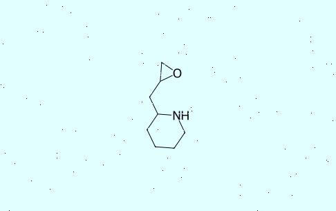 C1CCC(CC2CO2)NC1